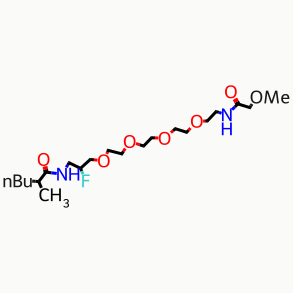 CCCCC(C)C(=O)NCC(F)COCCOCCOCCOCCNC(=O)COC